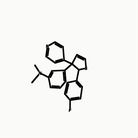 CN(C)c1cccc(C2(c3ccncc3)C=CSC2c2ccc(F)cc2)c1